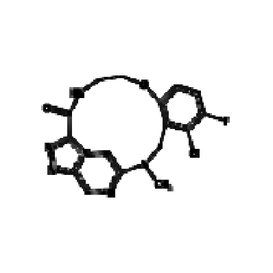 CN1Cc2c(ccc(F)c2Cl)OCCNC(=O)c2nnc3cnc1cn23